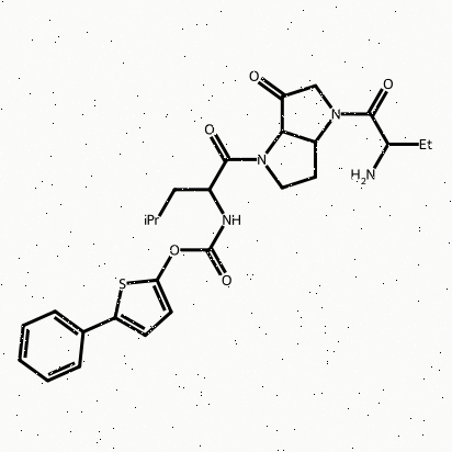 CCC(N)C(=O)N1CC(=O)C2C1CCN2C(=O)C(CC(C)C)NC(=O)Oc1ccc(-c2ccccc2)s1